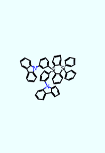 c1ccc([Si]2(c3ccccc3)c3ccccc3[Si](c3cccc(-n4c5ccccc5c5ccccc54)c3)(c3cccc(-n4c5ccccc5c5ccccc54)c3)c3ccccc32)cc1